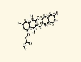 COC(=O)COc1cc(C)cc2[nH]c(=O)c(Cc3ccc4cc(F)ccc4n3)c(C)c12